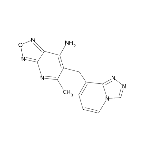 Cc1nc2nonc2c(N)c1Cc1cccn2cnnc12